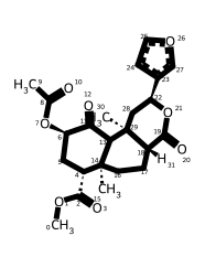 COC(=O)[C@@H]1C[C@@H](OC(C)=O)C(=O)C2[C@@]1(C)CC[C@H]1C(=O)O[C@H](c3ccoc3)C[C@]21C